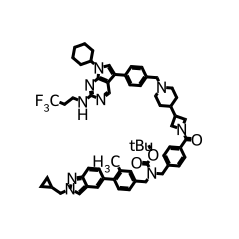 Cc1cc(CN(Cc2ccc(C(=O)N3CC(C4CCN(Cc5ccc(-c6cn(C7CCCCC7)c7nc(NCCC(F)(F)F)ncc67)cc5)CC4)C3)cc2)C(=O)OC(C)(C)C)ccc1-c1ccc2nn(CC3CC3)cc2c1